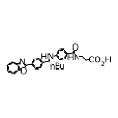 CCCC[C@@H](Nc1ccc(C(=O)NCCC(=O)O)cc1)c1ccc(-c2nc3ccccc3o2)cc1